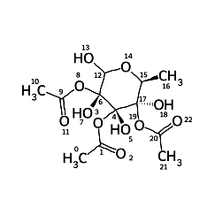 CC(=O)O[C@]1(O)[C@](O)(OC(C)=O)C(O)O[C@@H](C)[C@@]1(O)OC(C)=O